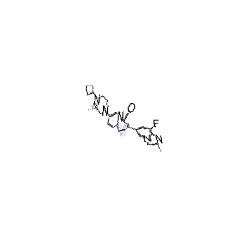 Cc1cn2cc(C3=C\C(=O)N4C=C(N5CCN(C6CCC6)[C@@H](C)C5)C=C\C4=C/C=C/3)cc(F)c2n1